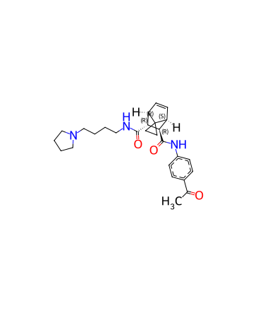 CC(=O)c1ccc(NC(=O)[C@H]2[C@H](C(=O)NCCCCN3CCCC3)[C@H]3C=C[C@@H]2C32CC2)cc1